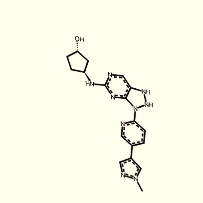 Cn1cc(-c2ccc(N3NNc4cnc(N[C@H]5CC[C@H](O)C5)nc43)nc2)cn1